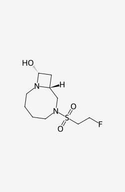 O=S(=O)(CCF)N1CCCCN2[C@H](C[C@H]2O)C1